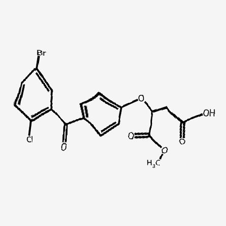 COC(=O)C(CC(=O)O)Oc1ccc(C(=O)c2cc(Br)ccc2Cl)cc1